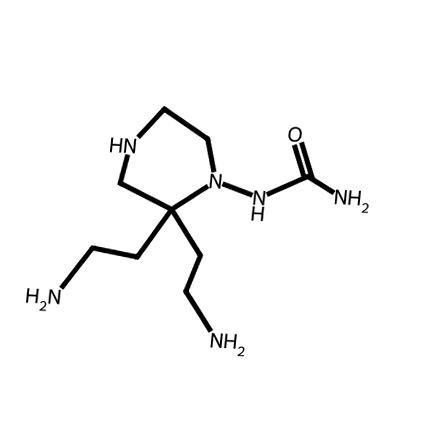 NCCC1(CCN)CNCCN1NC(N)=O